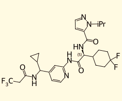 CC(C)n1nccc1C(=O)N[C@H](C(=O)Nc1cc(C(NC(=O)CC(F)(F)F)C2CC2)ccn1)C1CCC(F)(F)CC1